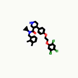 Cc1cccc(CN(C(=O)C2=C(c3ccc(OCCOc4cc(Cl)c(Cl)cc4Cl)cc3)CCNC2)C2CC2)c1C